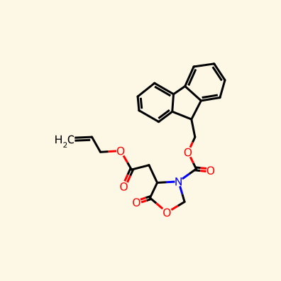 C=CCOC(=O)CC1C(=O)OCN1C(=O)OCC1c2ccccc2-c2ccccc21